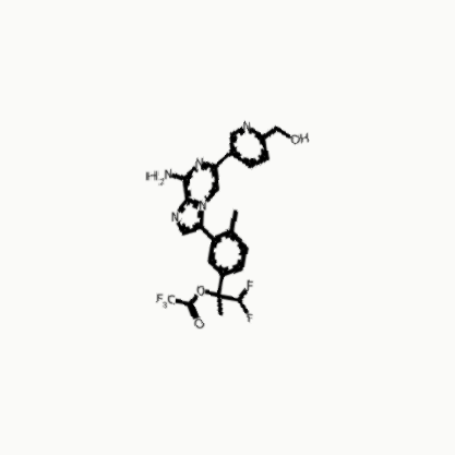 Cc1ccc(C(C)(OC(=O)C(F)(F)F)C(F)F)cc1-c1cnc2c(N)nc(-c3ccc(CO)nc3)cn12